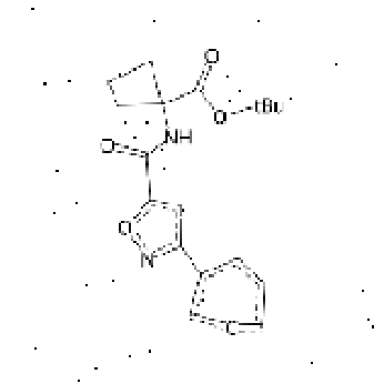 CC(C)(C)OC(=O)C1(NC(=O)c2cc(-c3ccccc3)no2)CCC1